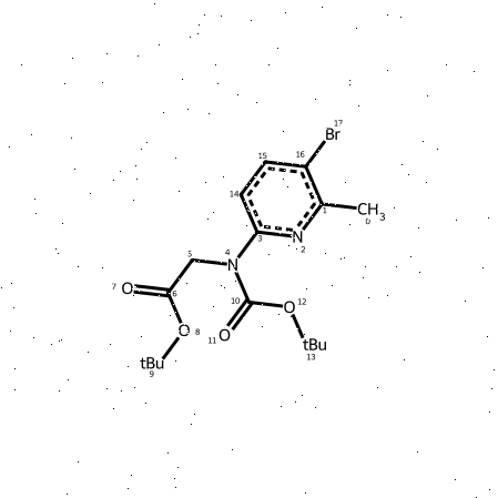 Cc1nc(N(CC(=O)OC(C)(C)C)C(=O)OC(C)(C)C)ccc1Br